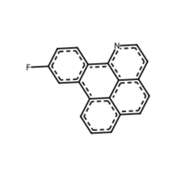 Fc1ccc2c(c1)c1cccc3ccc4ccnc2c4c31